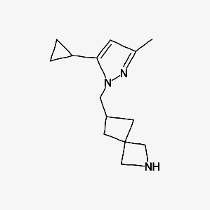 Cc1cc(C2CC2)n(CC2CC3(CNC3)C2)n1